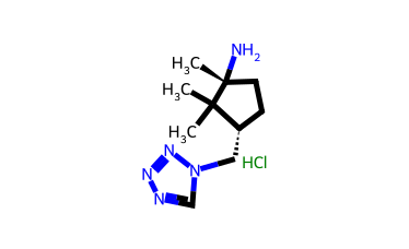 CC1(C)[C@@H](Cn2cnnn2)CC[C@@]1(C)N.Cl